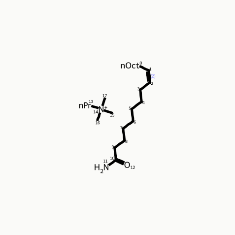 CCCCCCCC/C=C\CCCCCCCC(N)=O.CCC[N+](C)(C)C